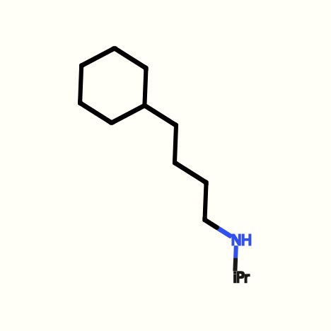 CC(C)NCCCCC1CCCCC1